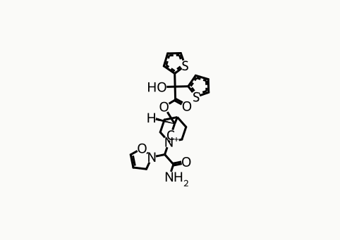 NC(=O)C(N1CC=CO1)[N+]12CCC(CC1)[C@@H](OC(=O)C(O)(c1cccs1)c1cccs1)C2